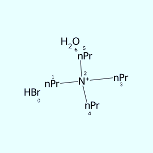 Br.CCC[N+](CCC)(CCC)CCC.O